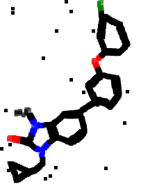 Cn1c(=O)n(CC2CC2)c2ccc(-c3cccc(Oc4cccc(Cl)c4)c3)cc21